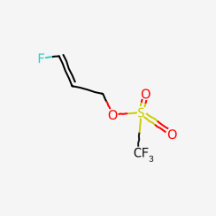 O=S(=O)(OCC=CF)C(F)(F)F